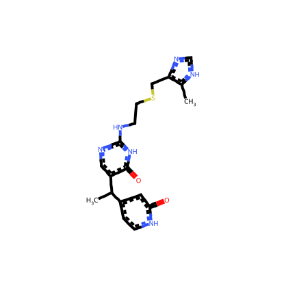 Cc1[nH]cnc1CSCCNc1ncc(C(C)c2cc[nH]c(=O)c2)c(=O)[nH]1